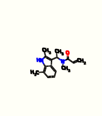 C=CC(=O)N(C)C(C)c1c(C)[nH]c2c(C)cccc12